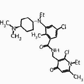 CCn1c(C)cc(=O)c(CNC(=O)c2cc(Cl)cc(N(CC)[C@H]3CC[C@H](N(C)C)CC3)c2C)c1Cl